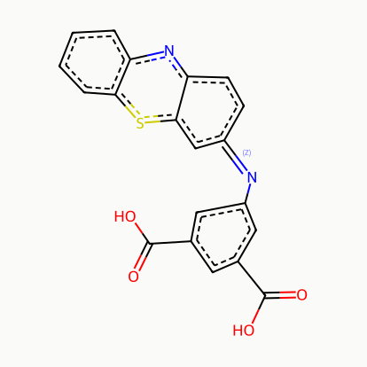 O=C(O)c1cc(/N=c2/ccc3nc4ccccc4sc-3c2)cc(C(=O)O)c1